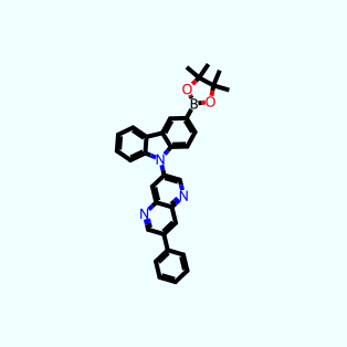 CC1(C)OB(c2ccc3c(c2)c2ccccc2n3-c2cnc3cc(-c4ccccc4)cnc3c2)OC1(C)C